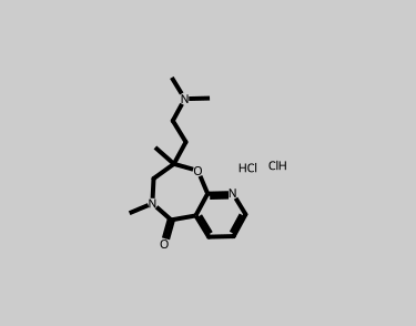 CN(C)CCC1(C)CN(C)C(=O)c2cccnc2O1.Cl.Cl